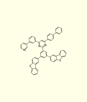 c1ccc(-c2ccc(-c3cc(-c4cccc(-c5cccnc5)c4)nc(-c4cc(-c5ccc6sc7ccccc7c6c5)cc(-c5ccc6sc7ccccc7c6c5)c4)n3)cc2)cc1